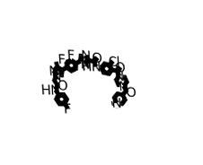 Cc1nn(CC(=O)Nc2ccc(F)cc2)cc1-c1ccc(-c2cnc(C(=O)Nc3ccc(C(=O)N4CCN(C(=O)C5CC[N+](C)(C)CC5)CC4)c(Cl)c3)n2C)c(F)c1F